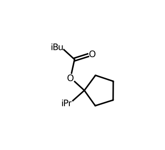 CCC(C)C(=O)OC1(C(C)C)CCCC1